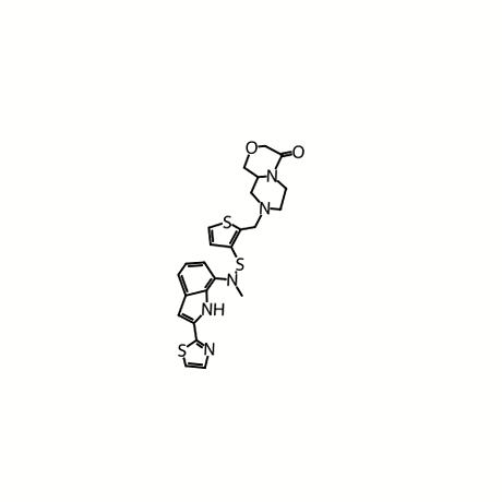 CN(Sc1ccsc1CN1CCN2C(=O)COCC2C1)c1cccc2cc(-c3nccs3)[nH]c12